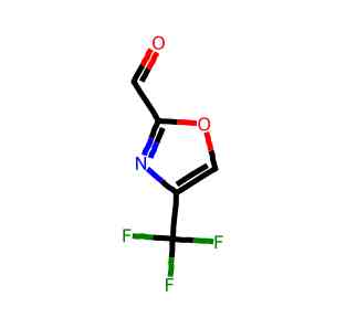 O=Cc1nc(C(F)(F)F)co1